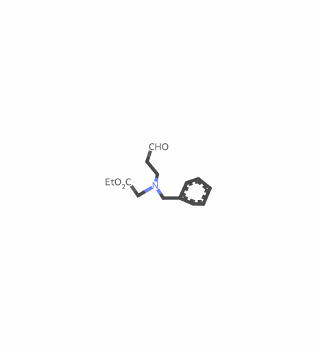 CCOC(=O)CN(CCC=O)Cc1ccccc1